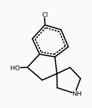 OC1CC2(CCNC2)c2ccc(Cl)cc21